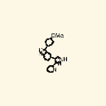 COc1ccc(-c2onc3ccc(-c4c[nH]nc4-c4ccccn4)cc23)cc1